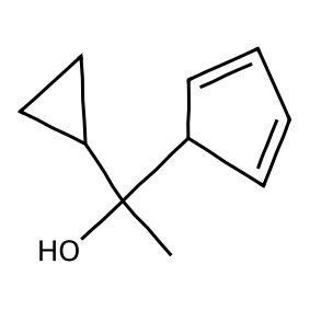 CC(O)(C1C=CC=C1)C1CC1